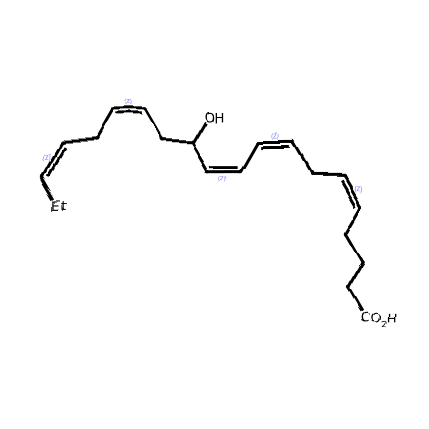 CC/C=C\C/C=C\CC(O)/C=C\C=C/C/C=C\CCCC(=O)O